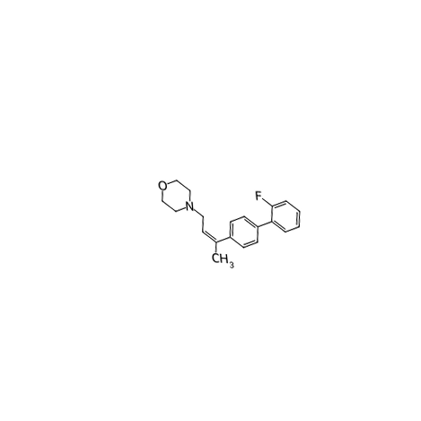 CC(=CCN1CCOCC1)c1ccc(-c2ccccc2F)cc1